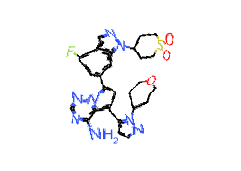 Nc1ncnn2c(-c3cc(F)c4cnn(C5CCS(=O)(=O)CC5)c4c3)cc(-c3ccnn3C3CCOCC3)c12